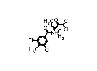 CC[C@](C)(NC(=O)c1cc(Cl)c(C)c(Cl)c1)C(=O)C(Cl)Cl